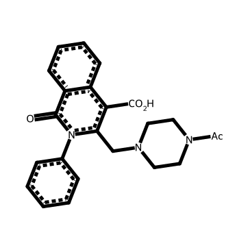 CC(=O)N1CCN(Cc2c(C(=O)O)c3ccccc3c(=O)n2-c2ccccc2)CC1